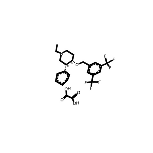 CCN1CC[C@H](OCc2cc(C(F)(F)F)cc(C(F)(F)F)c2)[C@H](c2ccccc2)C1.O=C(O)C(=O)O